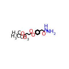 CC(C)(C)OC(=O)CCC(=O)Oc1ccc(CC(=O)NN)cc1